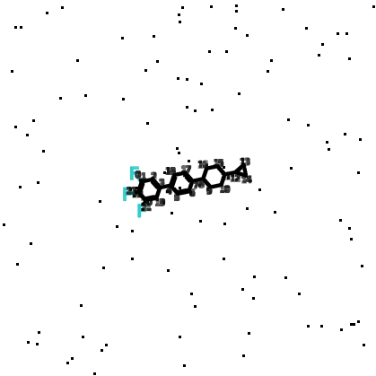 Fc1cc(-c2ccc(C3CCC(C4CC4)CC3)cc2)cc(F)c1F